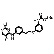 CC(C)(C)OC(=O)Nc1cccc(SCCc2cccc(Nc3nc(Cl)ncc3Cl)c2)c1